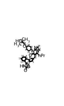 CCCc1c(Cc2ccc(-c3ccccc3-c3noc(=O)[nH]3)s2)c(=O)n([C@H]2CC[C@H](OCC(C)(C)O)CC2)c2ncnn12